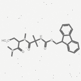 CN(C)C(=O)C(CC(=O)O)N(C)C(=O)C(C)(C)NC(=O)OCC1c2ccccc2-c2ccccc21